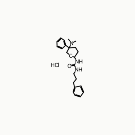 CN(C)C1(c2ccccc2)CCC(NC(=O)NCCCc2ccccc2)CC1.Cl